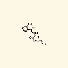 C=CCCC(N/C=C(\N)c1ccccc1C)C(=O)NC